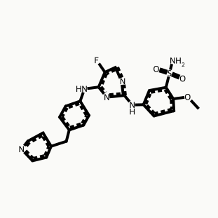 COc1ccc(Nc2ncc(F)c(Nc3ccc(Cc4ccncc4)cc3)n2)cc1S(N)(=O)=O